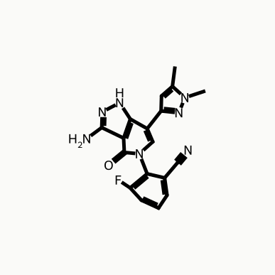 Cc1cc(-c2cn(-c3c(F)cccc3C#N)c(=O)c3c(N)n[nH]c23)nn1C